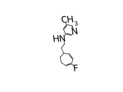 Cc1cncc(NCCC2C=CC(F)=CCC2)c1